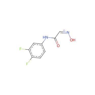 O=C(/C=N\O)Nc1ccc(F)c(F)c1